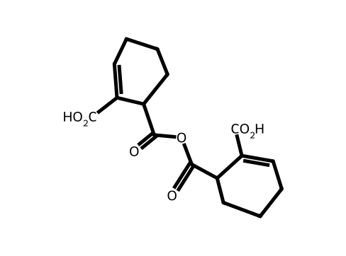 O=C(O)C1=CCCCC1C(=O)OC(=O)C1CCCC=C1C(=O)O